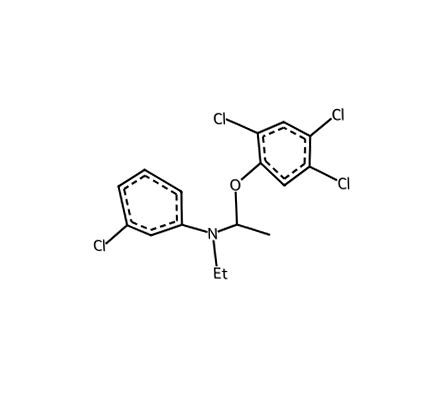 CCN(c1cccc(Cl)c1)C(C)Oc1cc(Cl)c(Cl)cc1Cl